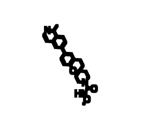 CONC(=O)N1CCC2(CCc3cc(-c4ccc5c(C)nccc5c4)ccc3O2)CC1